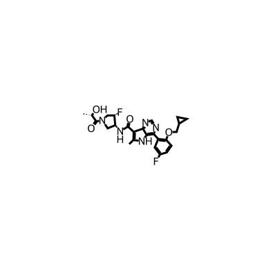 Cc1[nH]c2c(-c3cc(F)ccc3OCC3CC3)ncnc2c1C(=O)N[C@H]1CN(C(=O)[C@H](C)O)C[C@@H]1F